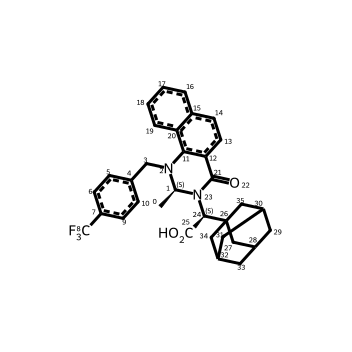 C[C@H]1N(Cc2ccc(C(F)(F)F)cc2)c2c(ccc3ccccc23)C(=O)N1[C@H](C(=O)O)C12CC3CC(CC(C3)C1)C2